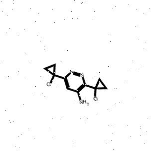 Nc1cc(C2(Cl)CC2)nnc1C1(Cl)CC1